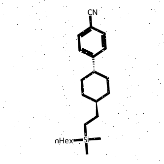 CCCCCC[Si](C)(C)CC[C@H]1CC[C@H](c2ccc(C#N)cc2)CC1